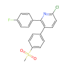 CS(=O)(=O)c1ccc(-c2ccc(Cl)nc2-c2ccc(F)cc2)cc1